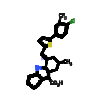 CC1C/C(=C\c2ccc(-c3ccc(Cl)c(C(F)(F)F)c3)s2)c2nc3ccccc3c(C(=O)O)c2C1